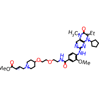 CC[C@@H]1C(=O)N(C)c2cnc(Nc3ccc(C(=O)NCCOCCOC4CCN(C/C=C/C(=O)OC)CC4)cc3OC)nc2N1C1CCCC1